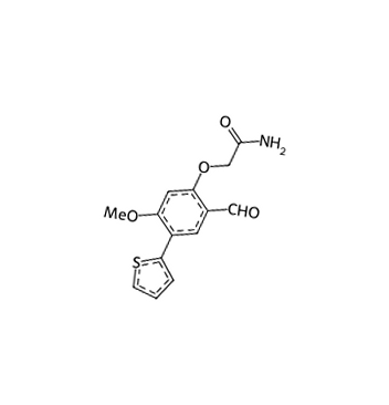 COc1cc(OCC(N)=O)c(C=O)cc1-c1cccs1